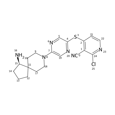 N#Cc1c(Sc2cnc(N3CCC4(CCC[C@H]4N)CC3)cn2)ccnc1Cl